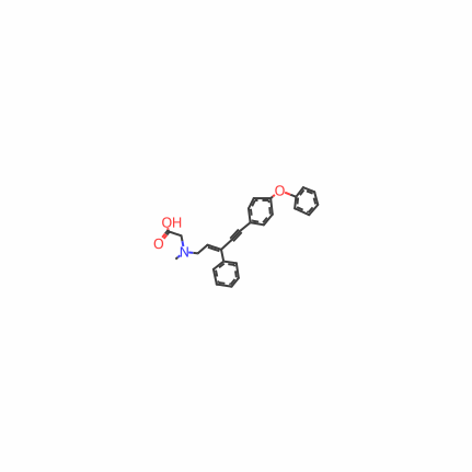 CN(CC=C(C#Cc1ccc(Oc2ccccc2)cc1)c1ccccc1)CC(=O)O